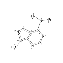 CC(C)N(N)c1ncnc2c1cnn2C